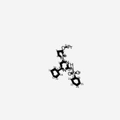 CC(C)Oc1ccn(-c2cc(-c3ccccc3)nc(NS(=O)(=O)c3ccccc3)n2)n1